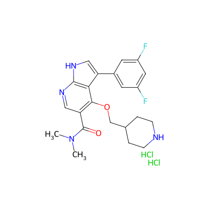 CN(C)C(=O)c1cnc2[nH]cc(-c3cc(F)cc(F)c3)c2c1OCC1CCNCC1.Cl.Cl